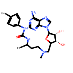 CCC(CCN(C)CC1OC(n2cnc3c(N)ncnc32)[C@H](O)[C@@H]1O)NC(=O)Nc1ccc(C(C)(C)C)cc1